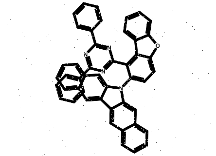 c1ccc(-c2nc(-c3ccccc3)nc(-c3c(-n4c5cc6ccccc6cc5c5cc6ccccc6cc54)ccc4oc5ccccc5c34)n2)cc1